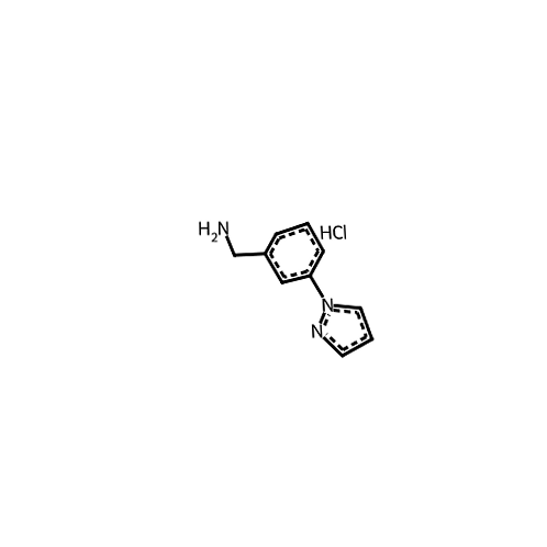 Cl.NCc1cccc(-n2cccn2)c1